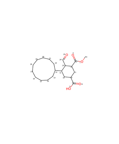 COC(=O)C1CC(C(=O)O)CC(C2CCCCCCCCCC2)C1C=O